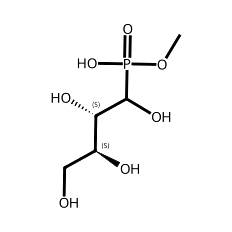 COP(=O)(O)C(O)[C@@H](O)[C@@H](O)CO